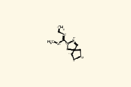 CC/N=C(\SC)N1CC2(C=N1)CCCC2